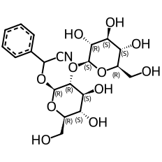 N#CC(O[C@@H]1O[C@H](CO)[C@@H](O)[C@H](O)[C@H]1O[C@@H]1O[C@H](CO)[C@@H](O)[C@H](O)[C@H]1O)c1ccccc1